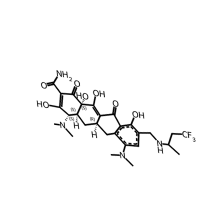 CC(CC(F)(F)F)NCc1cc(N(C)C)c2c(c1O)C(=O)C1=C(O)[C@]3(O)C(=O)C(C(N)=O)=C(O)[C@@H](N(C)C)[C@@H]3C[C@@H]1C2